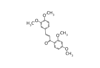 COc1ccc(C(=O)C=Cc2ccc(OC)c(OC)c2)c(OC)c1